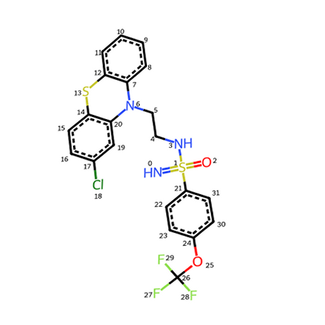 N=S(=O)(NCCN1c2ccccc2Sc2ccc(Cl)cc21)c1ccc(OC(F)(F)F)cc1